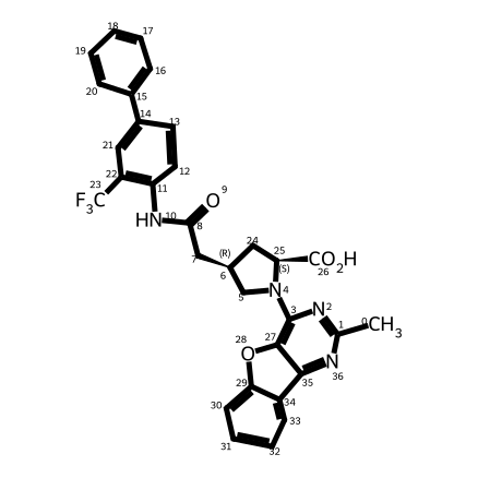 Cc1nc(N2C[C@@H](CC(=O)Nc3ccc(-c4ccccc4)cc3C(F)(F)F)C[C@H]2C(=O)O)c2oc3ccccc3c2n1